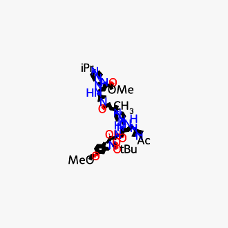 COCOc1ccc2c(c1)CN(C(=O)OC(C)(C)C)[C@H]([C@H](O)CNC(=O)c1cc(NC3CN(C(C)=O)C3)nc(N3CCN(C(C)CCC(=O)N4CC(Nc5cc(C(=O)OC)nc(N6CCN(C(C)C)CC6)n5)C4)CC3)n1)C2